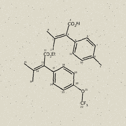 CC(C)=C(C(=O)O)c1ccc(C)cc1.CCOC(=O)C(=C(C)C)c1ccc(OC(F)(F)F)cc1